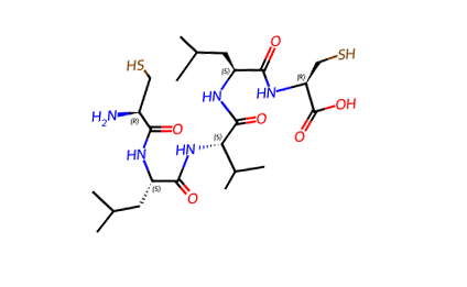 CC(C)C[C@H](NC(=O)[C@@H](NC(=O)[C@H](CC(C)C)NC(=O)[C@@H](N)CS)C(C)C)C(=O)N[C@@H](CS)C(=O)O